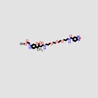 Cc1c(CC(=O)NCCCOCCOCCOCCCNC(=O)c2ccc3nonc3c2)c(=O)oc2cc(NCC(=O)OC(C)(C)C)ccc12